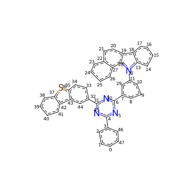 c1ccc(-c2nc(-c3cccc(-n4c5ccccc5c5ccc6ccccc6c54)c3)nc(-c3ccc4sc5ccccc5c4c3)n2)cc1